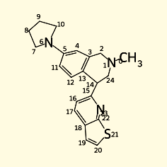 CN1Cc2cc(N3CCCC3)ccc2C(c2ccc3ccsc3n2)C1